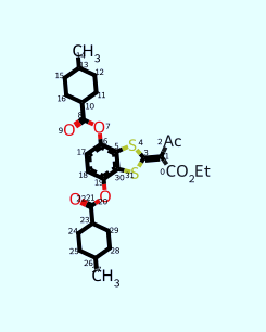 CCOC(=O)C(C(C)=O)=C1Sc2c(OC(=O)C3CCC(C)CC3)ccc(OC(=O)C3CCC(C)CC3)c2S1